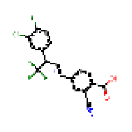 N#Cc1cc(/C=C/C(c2ccc(Cl)c(Cl)c2)C(F)(F)F)ccc1C(=O)O